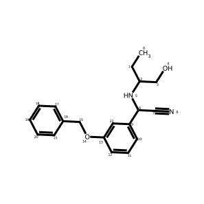 CCC(CO)NC(C#N)c1cccc(OCc2ccccc2)c1